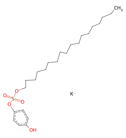 CCCCCCCCCCCCCCCCCCOS(=O)(=O)Oc1ccc(O)cc1.[K]